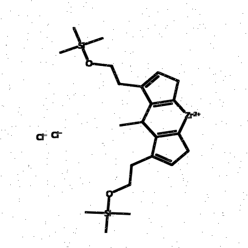 CC1C2=[C](CC=C2CCO[Si](C)(C)C)[Zr+2][C]2=C1C(CCO[Si](C)(C)C)=CC2.[Cl-].[Cl-]